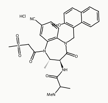 CNC(C)C(=O)N[C@@H]1C(=O)N(Cc2c(OC)ccc3ccccc23)c2ccc(C#N)cc2N(C(=O)CS(C)(=O)=O)[C@H]1C.Cl